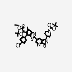 CCOC(=O)[C@@H](OC(C)(C)C)c1c(C)cc2nc(-c3cnc4c(c3)c(C3=CCN(C(=O)OC(C)(C)C)CC3)nn4C)sc2c1-c1ccc(Cl)cc1